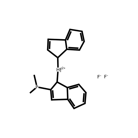 CP(C)C1=Cc2ccccc2[CH]1[Hf+2][CH]1C=Cc2ccccc21.[F-].[F-]